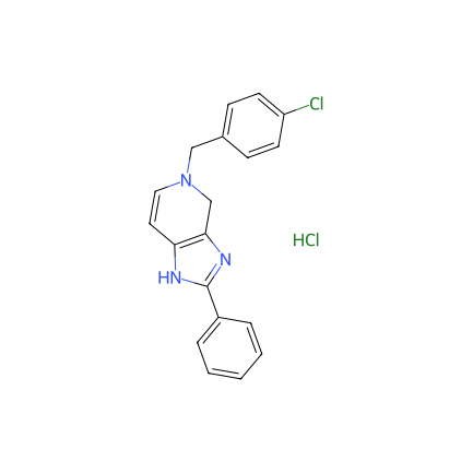 Cl.Clc1ccc(CN2C=Cc3[nH]c(-c4ccccc4)nc3C2)cc1